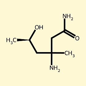 C[C@@H](O)CC(C)(N)CC(N)=O